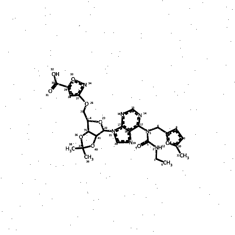 CCNC(=O)N(Cc1ccc(C)o1)c1ncnc2c1ncn2C1OC(COc2cc(C(=O)O)on2)C2OC(C)(C)OC21